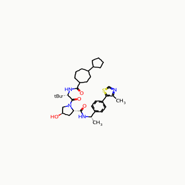 Cc1ncsc1-c1ccc([C@H](C)NC(=O)[C@@H]2C[C@@H](O)CN2C(=O)[C@@H](NC(=O)C2CCCC(C3CCCC3)CC2)C(C)(C)C)cc1